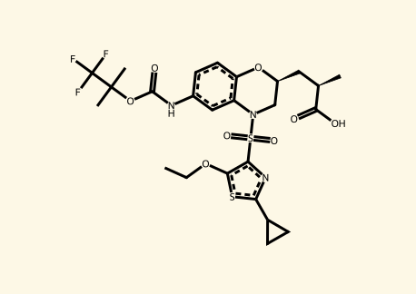 CCOc1sc(C2CC2)nc1S(=O)(=O)N1C[C@H](C[C@@H](C)C(=O)O)Oc2ccc(NC(=O)OC(C)(C)C(F)(F)F)cc21